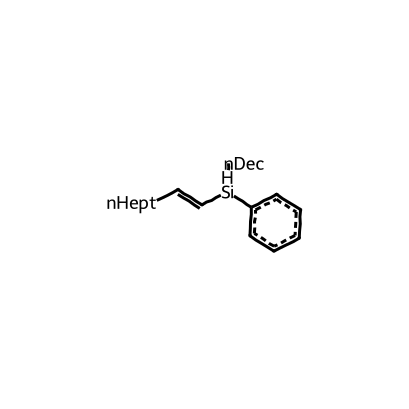 CCCCCCCC=C[SiH](CCCCCCCCCC)c1ccccc1